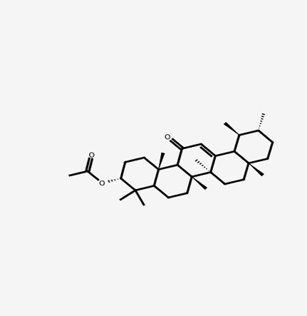 CC(=O)O[C@@H]1CC[C@@]2(C)C(CC[C@]3(C)C2C(=O)C=C2C4[C@@H](C)[C@H](C)CC[C@]4(C)CC[C@]23C)C1(C)C